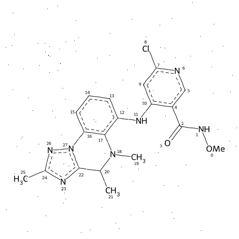 CONC(=O)c1cnc(Cl)cc1Nc1cccc2c1N(C)C(C)c1nc(C)nn1-2